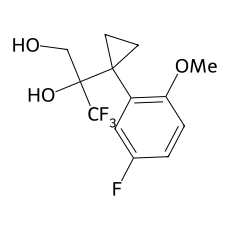 COc1ccc(F)cc1C1(C(O)(CO)C(F)(F)F)CC1